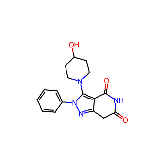 O=C1Cc2nn(-c3ccccc3)c(N3CCC(O)CC3)c2C(=O)N1